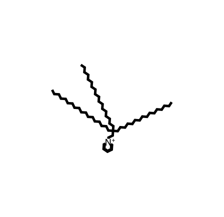 CCCCCCCCCCCCCCCCCCC(CCCCCCCCCCCCCCCC)(CCCCCCCCCCCCCCCCCC)CC[n+]1ccccc1